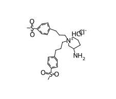 CS(=O)(=O)c1ccc(CCC[N+]2(CCCc3ccc(S(C)(=O)=O)cc3)CCCC(N)C2)cc1.Cl.[Cl-]